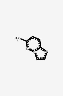 Cc1ccc2nccn2n1